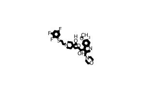 COc1ccc2ncc(CN3CCOCC3)c([C@H](O)CCC3(C(=O)O)CCN(CCSc4cc(F)cc(F)c4F)CC3)c2c1